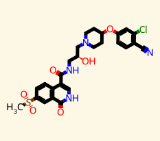 CS(=O)(=O)c1ccc2c(C(=O)NC[C@@H](O)CN3CCC(Oc4ccc(C#N)c(Cl)c4)CC3)c[nH]c(=O)c2c1